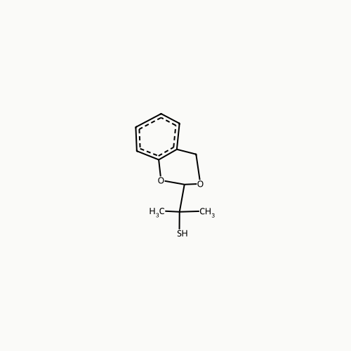 CC(C)(S)C1OCc2ccccc2O1